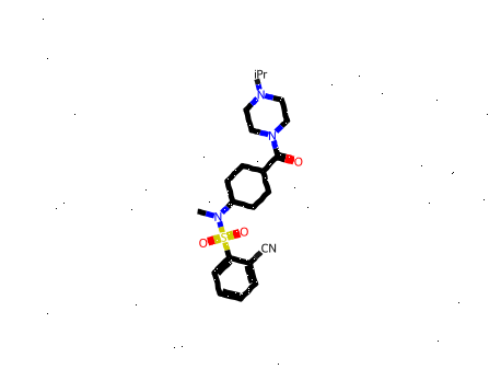 CC(C)N1CCN(C(=O)C2CCC(N(C)S(=O)(=O)c3ccccc3C#N)CC2)CC1